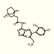 NCc1cc2nnc(NC(=O)CC3C[C@@H]4CC[C@H]3C4)n2cc1-c1ccc(Cl)cc1Cl